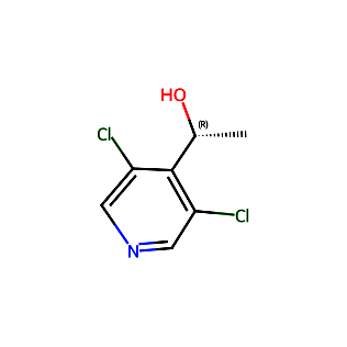 C[C@@H](O)c1c(Cl)cncc1Cl